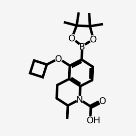 CC1CCc2c(ccc(B3OC(C)(C)C(C)(C)O3)c2OC2CCC2)N1C(=O)O